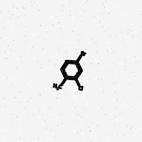 Cc1c[c]c(Br)cc1Cl